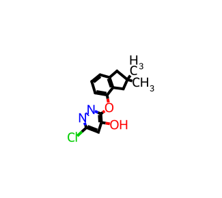 CC1(C)Cc2cccc(Oc3nnc(Cl)cc3O)c2C1